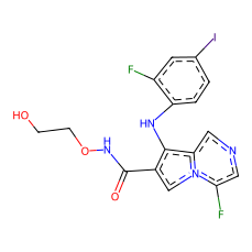 O=C(NOCCO)c1cn2c(F)cncc2c1Nc1ccc(I)cc1F